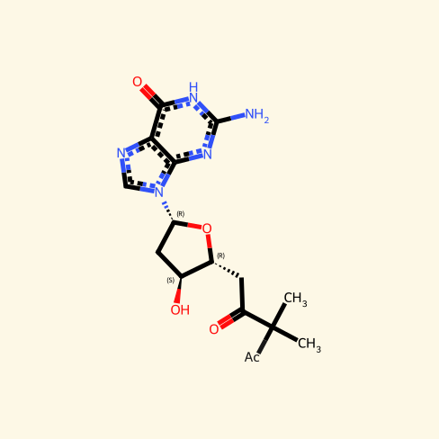 CC(=O)C(C)(C)C(=O)C[C@H]1O[C@@H](n2cnc3c(=O)[nH]c(N)nc32)C[C@@H]1O